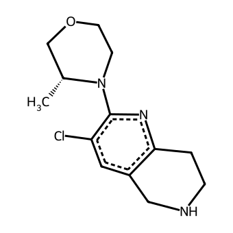 C[C@@H]1COCCN1c1nc2c(cc1Cl)CNCC2